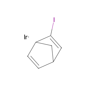 IC1=CC2C=CC1C2.[Ir]